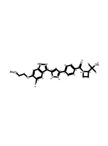 COCCOc1cc2[nH]nc(-c3cc(-c4ccc(C(=O)N5CCC5C(C)(C)O)cc4)no3)c2cc1F